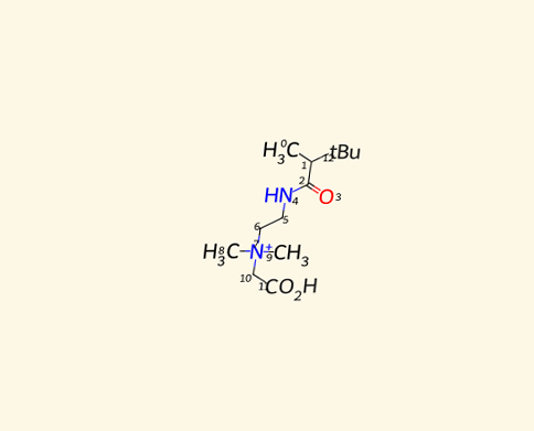 CC(C(=O)NCC[N+](C)(C)CC(=O)O)C(C)(C)C